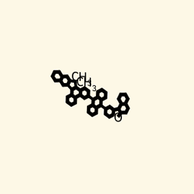 CC1(C)c2cc3ccccc3cc2-c2c1c1ccc(-c3c4ccccc4c(-c4ccc5oc6ccc7ccccc7c6c5c4)c4ccccc34)cc1c1ccccc21